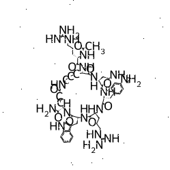 CC(=O)N[C@@H](CCCNC(=N)N)C(=O)N[C@H]1CCCNC(=O)CC[C@@H](C(N)=O)NC(=O)[C@H](Cc2c[nH]c3ccccc23)NC(=O)[C@H](CCCNC(=N)N)NC(=O)[C@@H](Cc2ccc(N)cc2)NC(=O)[C@H](CCN)NC1=O